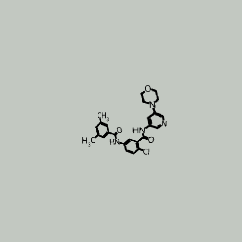 Cc1cc(C)cc(C(=O)Nc2ccc(Cl)c(C(=O)Nc3cncc(N4CCOCC4)c3)c2)c1